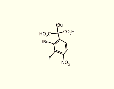 CC(C)(C)c1c(C(C(=O)O)(C(=O)O)C(C)(C)C)ccc([N+](=O)[O-])c1F